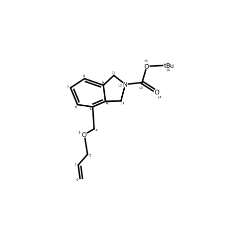 C=CCOCc1cccc2c1CN(C(=O)OC(C)(C)C)C2